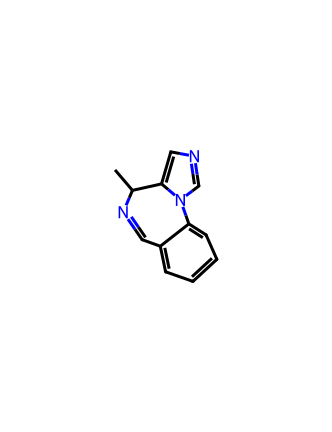 CC1N=Cc2ccccc2-n2cncc21